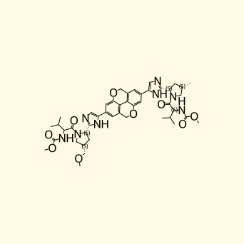 COC[C@H]1C[C@@H](c2ncc(-c3cc4c5c(c3)OCc3cc(-c6cnc([C@@H]7C[C@H](C)CN7C(=O)[C@@H](NC(=O)OC)C(C)C)[nH]6)cc(c3-5)OC4)[nH]2)N(C(=O)C(NC(=O)OC)C(C)C)C1